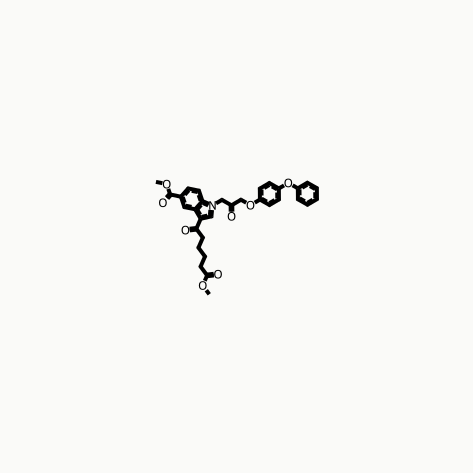 COC(=O)CCCCC(=O)c1cn(CC(=O)COc2ccc(Oc3ccccc3)cc2)c2ccc(C(=O)OC)cc12